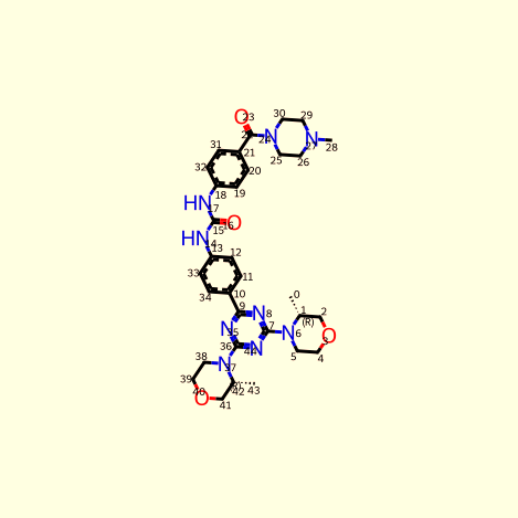 C[C@@H]1COCCN1c1nc(-c2ccc(NC(=O)Nc3ccc(C(=O)N4CCN(C)CC4)cc3)cc2)nc(N2CCOC[C@H]2C)n1